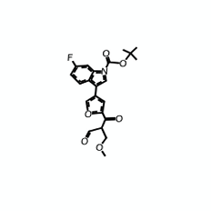 COCC(C=O)C(=O)c1cc(-c2cn(C(=O)OC(C)(C)C)c3cc(F)ccc23)co1